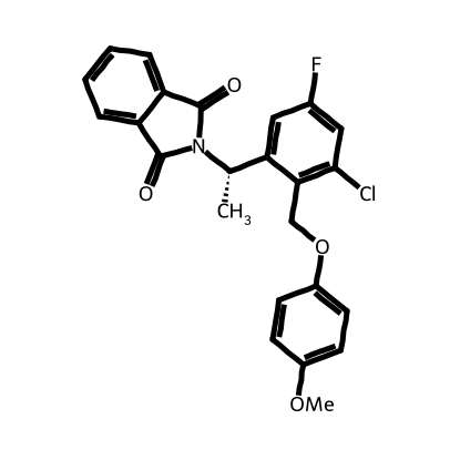 COc1ccc(OCc2c(Cl)cc(F)cc2[C@H](C)N2C(=O)c3ccccc3C2=O)cc1